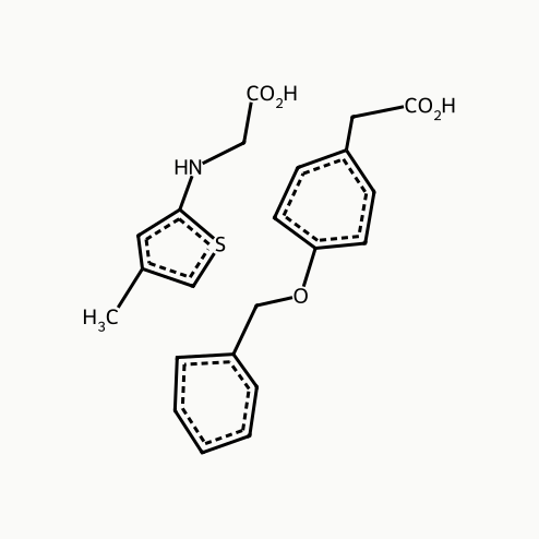 Cc1csc(NCC(=O)O)c1.O=C(O)Cc1ccc(OCc2ccccc2)cc1